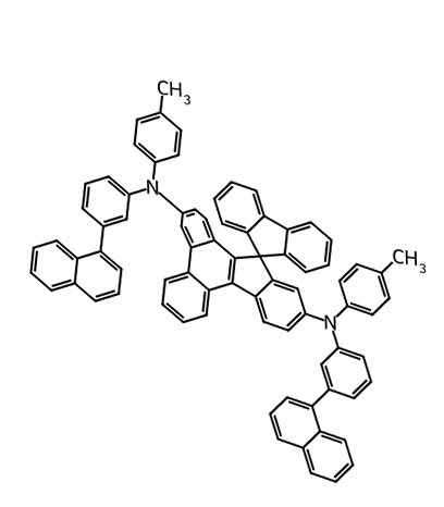 Cc1ccc(N(c2cccc(-c3cccc4ccccc34)c2)c2ccc3c(c2)C2(c4ccccc4-c4ccccc42)c2c-3c3ccccc3c3cc(N(c4ccc(C)cc4)c4cccc(-c5cccc6ccccc56)c4)ccc23)cc1